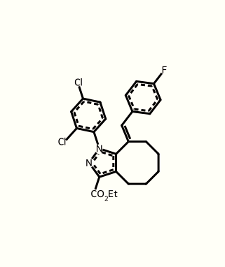 CCOC(=O)c1nn(-c2ccc(Cl)cc2Cl)c2c1CCCCCC2=Cc1ccc(F)cc1